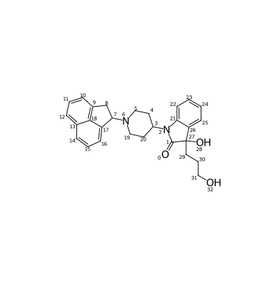 O=C1N(C2CCN(C3Cc4cccc5cccc3c45)CC2)c2ccccc2C1(O)CCCO